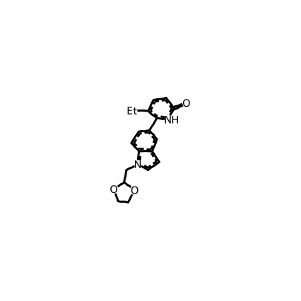 CCc1ccc(=O)[nH]c1-c1ccc2c(ccn2CC2OCCO2)c1